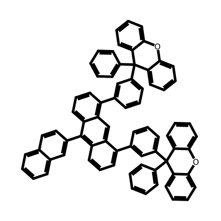 c1ccc(C2(c3cccc(-c4cccc5c(-c6ccc7ccccc7c6)c6cccc(-c7cccc(C8(c9ccccc9)c9ccccc9Oc9ccccc98)c7)c6cc45)c3)c3ccccc3Oc3ccccc32)cc1